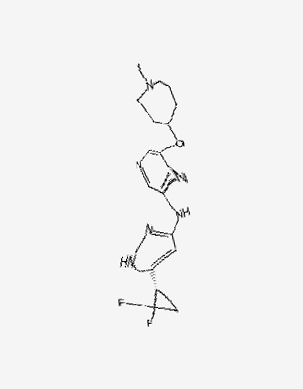 CN1CCC(Oc2cncc(Nc3cc([C@@H]4CC4(F)F)[nH]n3)n2)CC1